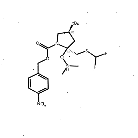 C[SiH](C)O[C@]1(CSC(F)F)C[C@H](C(C)(C)C)CN1C(=O)OCc1ccc([N+](=O)[O-])cc1